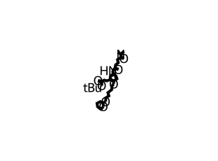 CN(C)C(=O)CCCC(=O)Nc1ccc(OCCCCCOC2CCCCO2)c(CCC(=O)OC(C)(C)C)c1